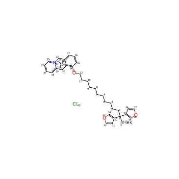 CCCCCCC(CCCCCCCCCCCOc1cccc2c1C1CCC2[n+]2ccccc21)(c1ccoc1)c1ccoc1.[Cl-]